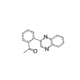 CC(=O)c1ccccc1-c1cnc2ccccc2n1